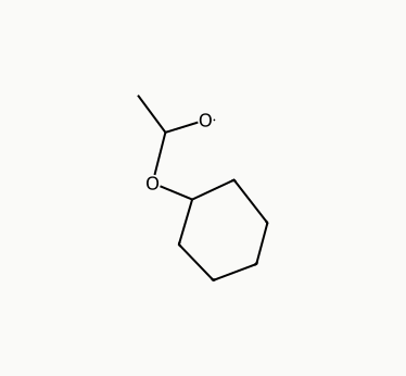 CC([O])OC1CCCCC1